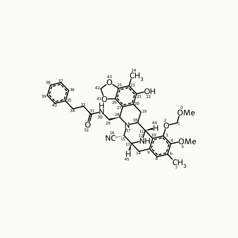 COCOc1c(OC)c(C)cc2c1[C@@H]1N[C@H](C2)[C@H](C#N)N2C1Cc1c(O)c(C)c3c(c1[C@@H]2CNC(=O)CCc1ccccc1)OCO3